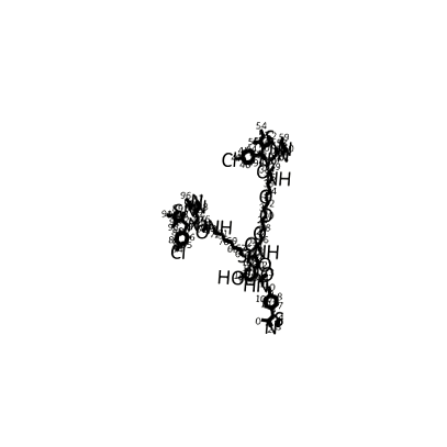 Cc1ncsc1-c1ccc(CNC(=O)[C@@H]2C[C@@H](O)CN2C(=O)[C@@H](NC(=O)COCCOCCOCCNC(=O)C[C@@H]2N=C(c3ccc(Cl)cc3)c3c(sc(C)c3C)-n3c(C)nnc32)C(C)(C)SCCCCCCNC(=O)C[C@@H]2N=C(c3ccc(Cl)cc3)c3c(sc(C)c3C)-n3c(C)nnc32)cc1